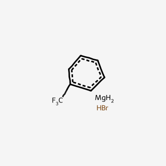 Br.FC(F)(F)c1ccccc1.[MgH2]